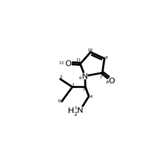 CC(C)C(CN)N1C(=O)C=CC1=O